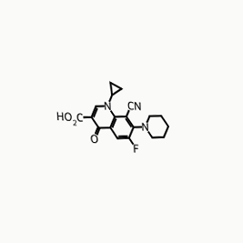 N#Cc1c(N2CCCCC2)c(F)cc2c(=O)c(C(=O)O)cn(C3CC3)c12